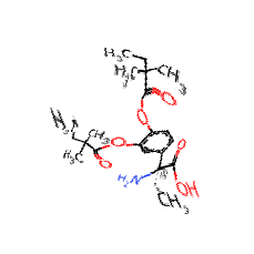 CCC(C)(C)C(=O)Oc1ccc([C@](C)(N)C(=O)O)cc1OC(=O)C(C)(C)CC